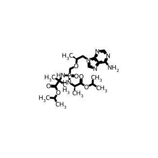 CC(C)OC(=O)[C@@H](C)NP(=O)(CO[C@@H](C)Cn1cnc2c(N)ncnc21)NC(C)(C)C(=O)OC(C)C